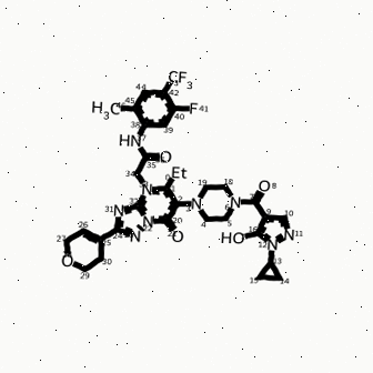 CCc1c(N2CCN(C(=O)c3cnn(C4CC4)c3O)CC2)c(=O)n2nc(C3=CCOCC3)nc2n1CC(=O)Nc1cc(F)c(C(F)(F)F)cc1C